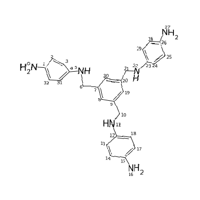 Nc1ccc(NCc2cc(CNc3ccc(N)cc3)cc(CNc3ccc(N)cc3)c2)cc1